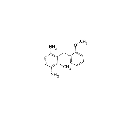 COc1ccccc1Cc1c(N)ccc(N)c1C